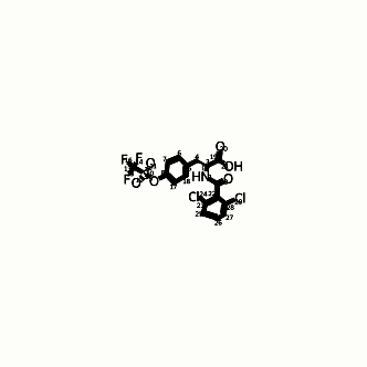 O=C(N[C@@H](Cc1ccc(OS(=O)(=O)C(F)(F)F)cc1)C(=O)O)c1c(Cl)cccc1Cl